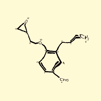 C=CCc1cc(C=O)ccc1OCC1CO1